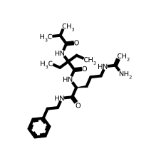 C=C(N)NCCC[C@H](NC(=O)C(CC)(CC)NC(=O)C(C)C)C(=O)NCCc1ccccc1